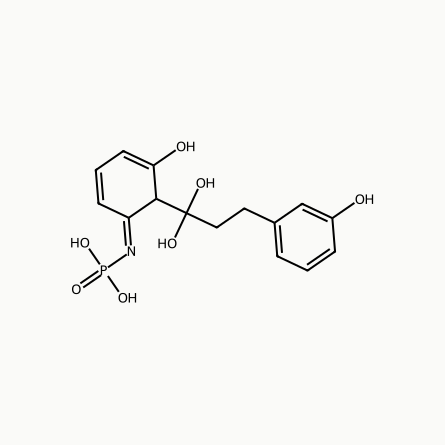 O=P(O)(O)N=C1C=CC=C(O)C1C(O)(O)CCc1cccc(O)c1